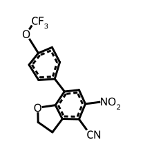 N#Cc1c([N+](=O)[O-])cc(-c2ccc(OC(F)(F)F)cc2)c2c1CCO2